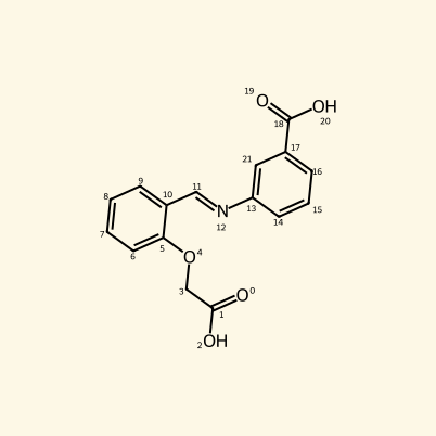 O=C(O)COc1ccccc1C=Nc1cccc(C(=O)O)c1